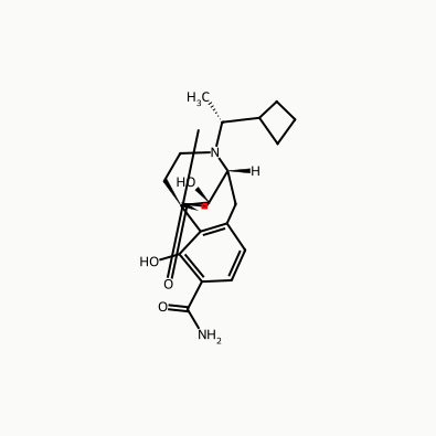 C[C@H](C1CCC1)N1CC[C@]23CC(=O)CC[C@@]2(O)[C@H]1Cc1ccc(C(N)=O)c(O)c13